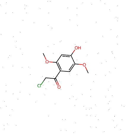 COc1cc(C(=O)CCl)c(OC)cc1O